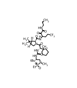 C=CCNC(=O)C(=O)C(CCC(F)(F)F)NC(=O)[C@@H]1[C@@H]2[C@H](CN1C(=O)[C@@H](NC(=O)N[C@H](CN(C)S(=O)(=O)CC)C(C)(C)C)C1(C)CCCCC1)C2(C)C